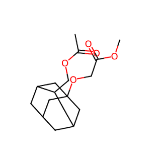 COC(=O)COC12CC3CC(C1)C(COC(C)=O)C(C3)C2